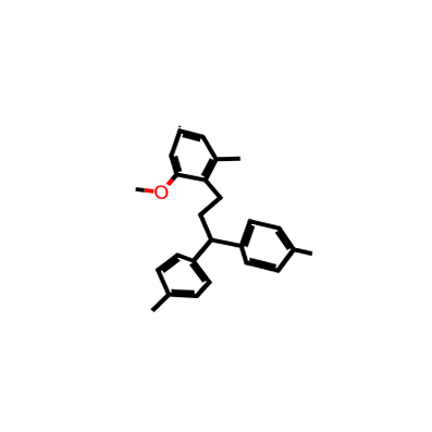 COc1c[c]cc(C)c1CCC(c1ccc(C)cc1)c1ccc(C)cc1